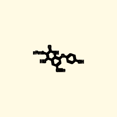 CCCCCc1c(O)c2cc(OC)cc(Oc3ccc(O)cc3)c2[nH]c1=O